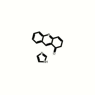 O=C1CC=Cc2nc3ccccc3cc21.c1c[nH]cn1